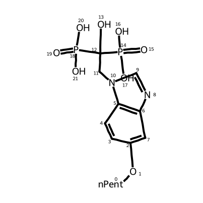 CCCCCOc1ccc2c(c1)ncn2CC(O)(P(=O)(O)O)P(=O)(O)O